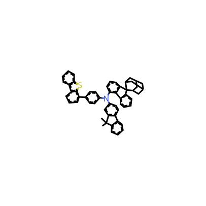 CC1(C)c2ccccc2-c2ccc(N(c3ccc(-c4cccc5c4sc4ccccc45)cc3)c3cccc4c3-c3ccccc3C43C4CC5CC(C4)CC3C5)cc21